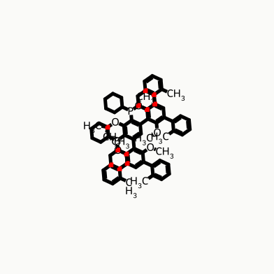 COc1c(-c2ccccc2C)cc(-c2ccccc2C)c(OC)c1-c1cc(-c2c(OC)c(-c3ccccc3C)cc(-c3ccccc3C)c2OC)c(P(C2CCCCC2)C2CCCCC2)c(OC(C)C)c1P(C1CCCCC1)C1CCCCC1